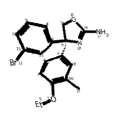 CCOc1ccc([C@]2(c3cccc(Br)c3)COC(N)=N2)cc1C